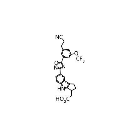 N#CCCc1cc(OC(F)(F)F)cc(-c2nc(-c3ccc4[nH]c5c(c4c3)CCC5CC(=O)O)no2)c1